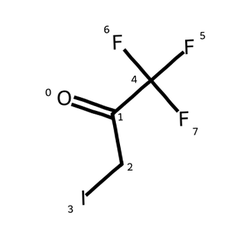 O=C(CI)C(F)(F)F